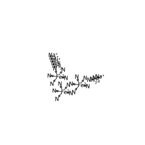 N.N.N.N#[C][Fe-2]([C]#N)([C]#N)([C]#N)[C]#N.N#[C][Fe-2]([C]#N)([C]#N)([C]#N)[C]#N.N#[C][Fe-2]([C]#N)([C]#N)([C]#N)[C]#N.[NH4+].[NH4+].[Na+].[Na+].[Na+].[Na+]